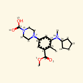 COC(=O)c1cc(N2CCN(C(=O)O)CC2)cc(N(C)C2CCCC2)c1C